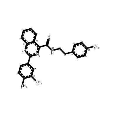 Cc1ccc(-c2nc(C(=O)NCCc3ccc(C(F)(F)F)cc3)c3ccccc3n2)cc1C